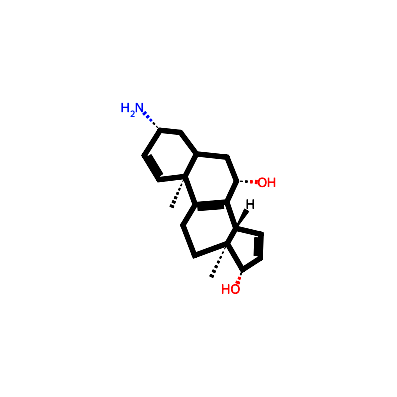 C[C@]12CCC3=C([C@@H](O)CC4C[C@@H](N)C=C[C@]34C)[C@@H]1C=C[C@@H]2O